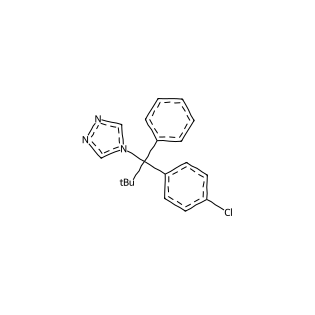 CC(C)(C)C(c1ccccc1)(c1ccc(Cl)cc1)n1cnnc1